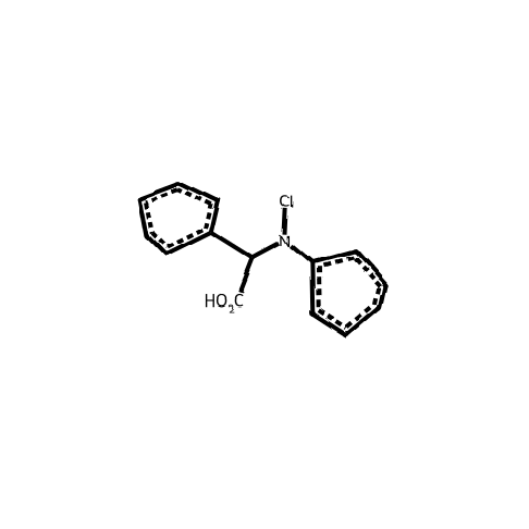 O=C(O)C(c1ccccc1)N(Cl)c1ccccc1